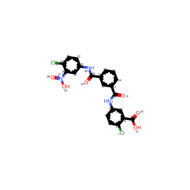 O=C(Nc1ccc(Cl)c(C(=O)O)c1)c1cccc(C(=O)Nc2ccc(Cl)c([N+](=O)O)c2)c1